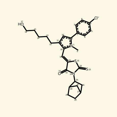 Cn1c(-c2ccc(Cl)cc2)cc(CCCCCO)c1/C=C1\SC(=S)N(C2CC3CCC2C3)C1=O